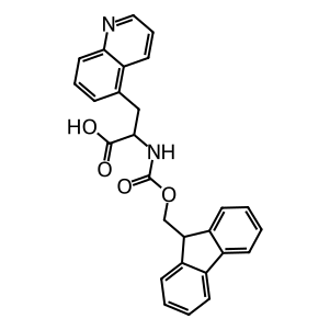 O=C(NC(Cc1cccc2ncccc12)C(=O)O)OCC1c2ccccc2-c2ccccc21